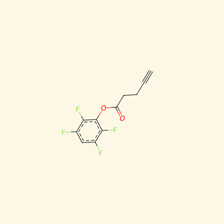 C#CCCC(=O)Oc1c(F)c(F)cc(F)c1F